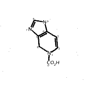 O=C(O)N1C=CC2=C(C1)N=C[N]2